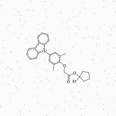 CCC1(OC(=O)COc2c(C)cc(-[s+]3c4ccccc4c4ccccc43)cc2C)CCCC1